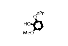 CC[CH]Oc1cccc(OC)c1O